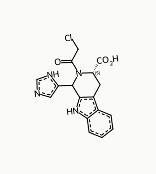 O=C(O)[C@@H]1Cc2c([nH]c3ccccc23)C(c2cnc[nH]2)N1C(=O)CCl